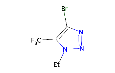 CCn1nnc(Br)c1C(F)(F)F